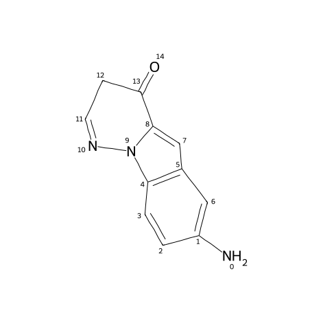 Nc1ccc2c(c1)cc1n2N=CCC1=O